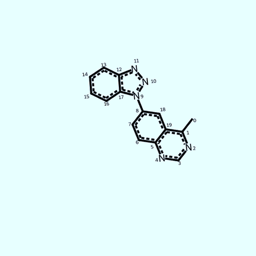 Cc1ncnc2ccc(-n3nnc4ccccc43)cc12